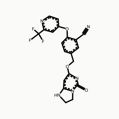 N#Cc1cc(COc2cc3n(c(=O)n2)CCN3)ccc1Oc1ccnc(C(F)(F)F)c1